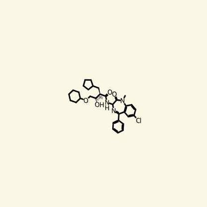 CN1C(=O)C(NC(=O)[C@H](CC2CCCC2)[C@H](O)COC2CCCCC2)N=C(c2ccccc2)c2cc(Cl)ccc21